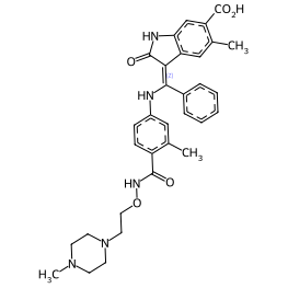 Cc1cc2c(cc1C(=O)O)NC(=O)/C2=C(\Nc1ccc(C(=O)NOCCN2CCN(C)CC2)c(C)c1)c1ccccc1